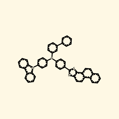 c1ccc(-c2cccc(N(c3ccc(-c4nc5ccc6c7ccccc7ccc6c5s4)cc3)c3ccc(-n4c5ccccc5c5ccccc54)cc3)c2)cc1